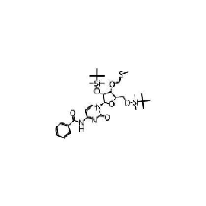 CSCO[C@H]1[C@@H](O[Si](C)(C)C(C)(C)C)[C@H](n2ccc(NC(=O)c3ccccc3)nc2=O)O[C@@H]1CO[Si](C)(C)C(C)(C)C